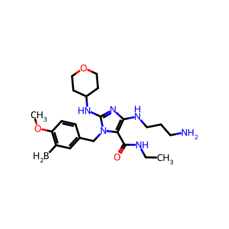 Bc1cc(Cn2c(NC3CCOCC3)nc(NCCCN)c2C(=O)NCC)ccc1OC